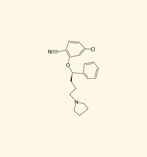 N#Cc1ccc(Cl)cc1O[C@H](CCCN1CCCC1)c1ccccc1